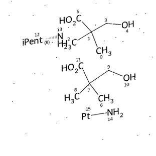 CC(C)(CO)C(=O)O.CC(C)(CO)C(=O)O.CCC[C@@H](C)N.[NH2][Pt]